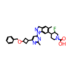 Cc1nc(C2CC(OCc3ccccc3)C2)cc(-n2ncc3cc(C)c(C4CCN(C(=O)O)CC4F)cc32)n1